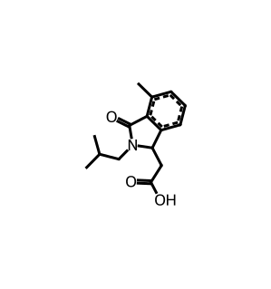 Cc1cccc2c1C(=O)N(CC(C)C)C2CC(=O)O